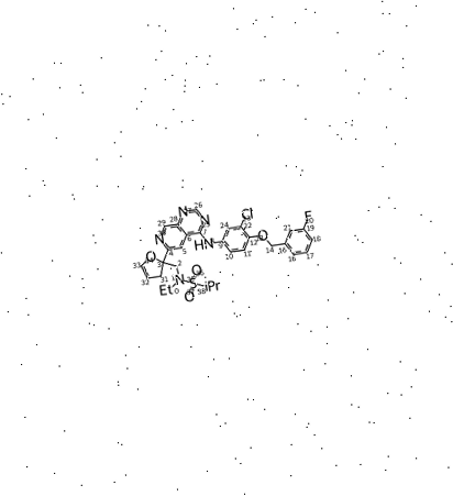 CCN(CC1(c2cc3c(Nc4ccc(OCc5cccc(F)c5)c(Cl)c4)ncnc3cn2)CC=CO1)S(=O)(=O)C(C)C